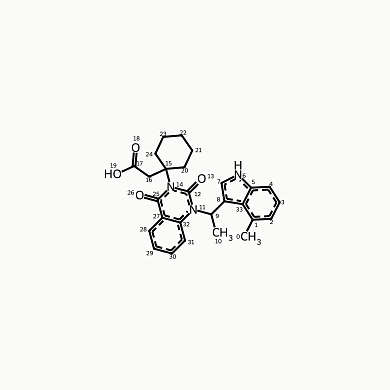 Cc1cccc2[nH]cc(C(C)n3c(=O)n(C4(CC(=O)O)CCCCC4)c(=O)c4ccccc43)c12